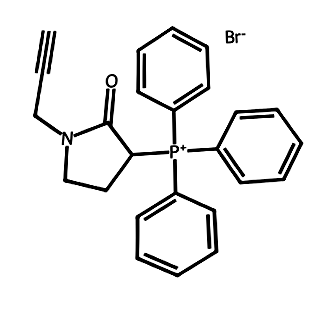 C#CCN1CCC([P+](c2ccccc2)(c2ccccc2)c2ccccc2)C1=O.[Br-]